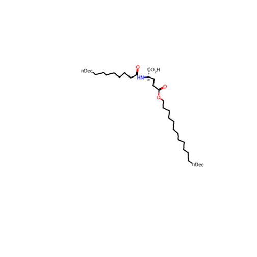 CCCCCCCCCCCCCCCCCCCCCCOC(=O)CC[C@H](NC(=O)CCCCCCCCCCCCCCCCC)C(=O)O